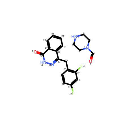 O=CN1CCNCC1.O=c1[nH]nc(Cc2ccc(F)cc2F)c2ccccc12